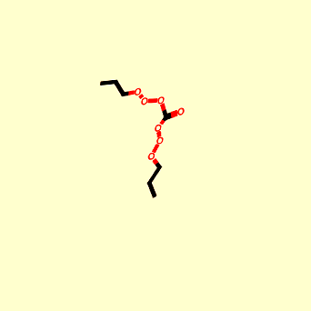 CCCOOOC(=O)OOOCCC